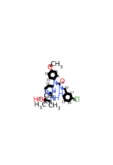 COc1ccc(N(C(=O)NCc2cccc(Cl)c2)c2ccnc(N[C@@H](C)C(C)(C)O)n2)cc1